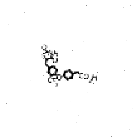 O=C(O)Cc1ccc(Oc2ccc(CC3SC(=O)NC3=O)cc2C(F)(F)F)cc1